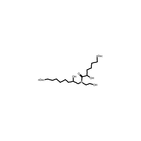 CCCCCCCCCCCCCCCCC(O)CN(CCO)C(=O)C(O)CCCCCCCCCCCCCC